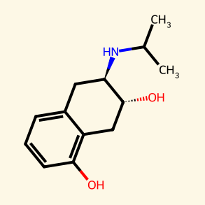 CC(C)N[C@@H]1Cc2cccc(O)c2C[C@H]1O